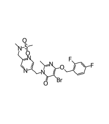 Cc1nc(OCc2ccc(F)cc2F)c(Br)c(=O)n1Cc1cnc(CN(C)S(C)(=O)=O)cn1